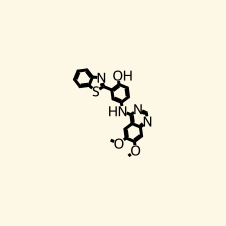 COc1cc2ncnc(Nc3ccc(O)c(-c4nc5ccccc5s4)c3)c2cc1OC